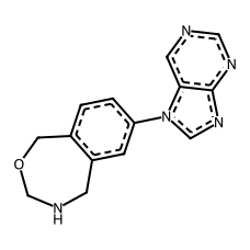 c1ncc2c(n1)ncn2-c1ccc2c(c1)CNCOC2